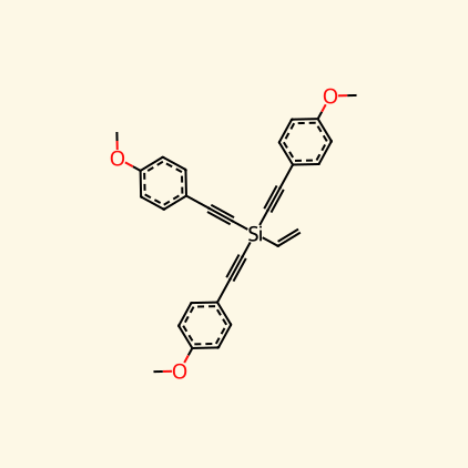 C=C[Si](C#Cc1ccc(OC)cc1)(C#Cc1ccc(OC)cc1)C#Cc1ccc(OC)cc1